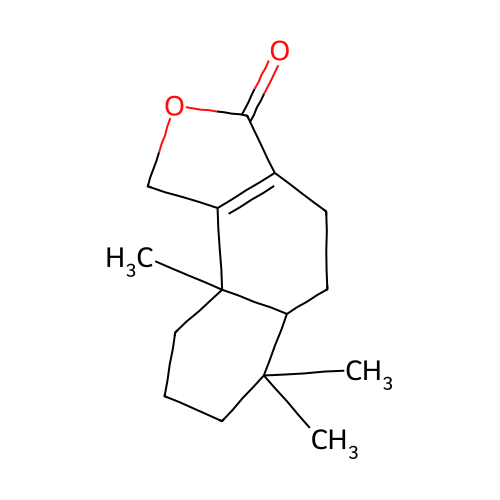 CC1(C)CCCC2(C)C3=C(CCC12)C(=O)OC3